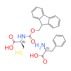 N[C@@H](Cc1ccccc1)C(=O)O.O=C(N[C@@H](CS)C(=O)O)OCC1c2ccccc2-c2ccccc21